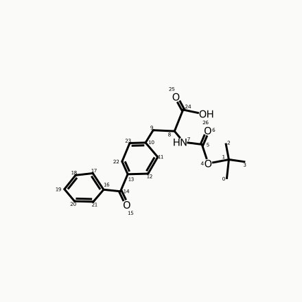 CC(C)(C)OC(=O)NC(Cc1ccc(C(=O)c2ccccc2)cc1)C(=O)O